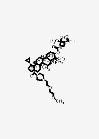 COCCOCCN1CCN(C(=O)[C@]23CC[C@@H](C4CC4)[C@@H]2[C@H]2CC[C@@H]4[C@@]5(C)CC[C@H](OC(=O)[C@H]6C[C@@H](C(=O)O)C6(C)C)C(C)(C)[C@@H]5CC[C@@]4(C)[C@]2(C)CC3)CC1